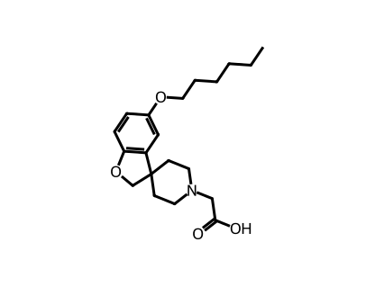 CCCCCCOc1ccc2c(c1)C1(CCN(CC(=O)O)CC1)CO2